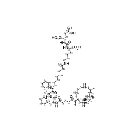 CC12CNCCNCC(NC(=O)CCCC(=O)N[C@H](Cc3ccccc3)C(=O)N[C@H](Cc3ccccc3)C(=O)NCCCCCCCC(=O)NCCCCC(NC(=O)NC(CCC(O)O)C(=O)O)C(=O)O)(CNCCNC1)CNCCNC2